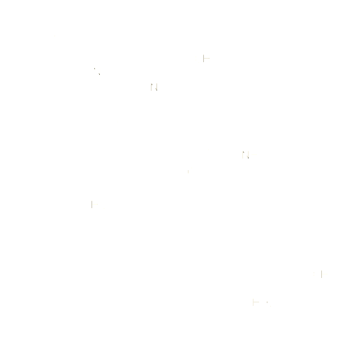 CCN1/C(=N/C23CC4CC(CC(C4)C2)C3)SCC1CC(=O)Nc1ccc(C(C)C)cc1.Cl